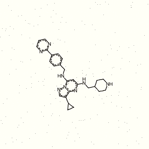 c1cnc(-c2ccc(CNc3cc(NCC4CCNCC4)nc4c(C5CC5)cnn34)cc2)nc1